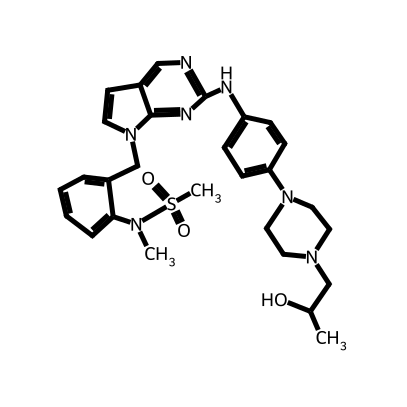 CC(O)CN1CCN(c2ccc(Nc3ncc4ccn(Cc5ccccc5N(C)S(C)(=O)=O)c4n3)cc2)CC1